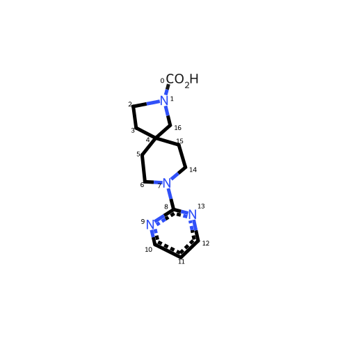 O=C(O)N1CCC2(CCN(c3ncccn3)CC2)C1